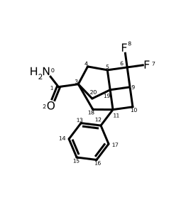 NC(=O)C12CC3C(F)(F)C4CC(c5ccccc5)(C1)C34C2